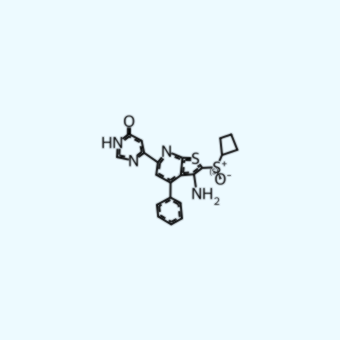 Nc1c([S@+]([O-])C2CCC2)sc2nc(-c3cc(=O)[nH]cn3)cc(-c3ccccc3)c12